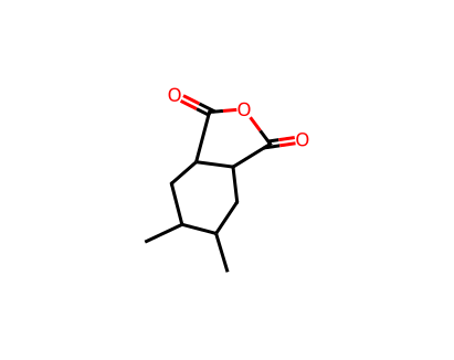 CC1CC2C(=O)OC(=O)C2CC1C